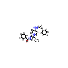 N#CCC1(N2CCC(N[C@@H]3C[C@H]3c3ccccc3)CC2)CN(C(=O)c2ccccc2)C1